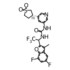 Cc1c(C(NC(=O)Nc2cncc([C@@H]3CCS(=O)(=O)C3)c2)C(F)(F)F)oc2c(F)cc(F)cc12